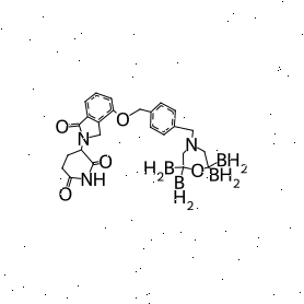 BC1(B)CN(Cc2ccc(COc3cccc4c3CN(C3CCC(=O)NC3=O)C4=O)cc2)CC(B)(B)O1